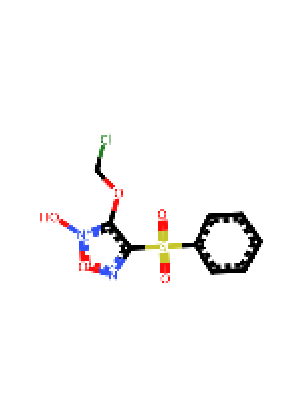 O=S(=O)(c1ccccc1)c1no[n+](O)c1OCCl